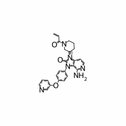 C=CC(=O)N1CCC[C@@H](n2c(=O)n(-c3ccc(Oc4cccnc4)cc3)c3c(N)nccc32)C1